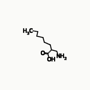 CCCCCCC(CN)C(=O)O